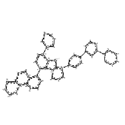 c1ccc(-c2cccc(-c3ccc(-c4cccc5c4oc4c(-c6ccccc6)ccc(-c6ccnc7c6ccc6ncccc67)c45)cc3)c2)cc1